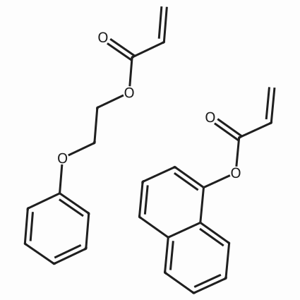 C=CC(=O)OCCOc1ccccc1.C=CC(=O)Oc1cccc2ccccc12